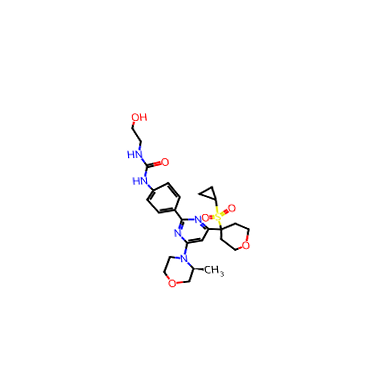 C[C@H]1COCCN1c1cc(C2(S(=O)(=O)C3CC3)CCOCC2)nc(-c2ccc(NC(=O)NCCO)cc2)n1